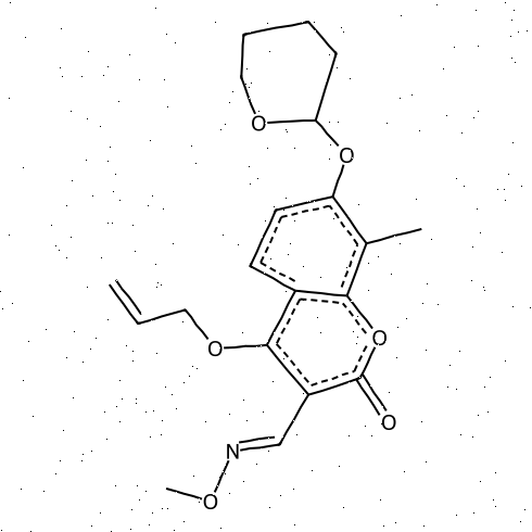 C=CCOc1c(C=NOC)c(=O)oc2c(C)c(OC3CCCCO3)ccc12